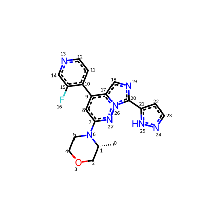 C[C@@H]1COCCN1c1cc(-c2ccncc2F)c2cnc(-c3ccn[nH]3)n2n1